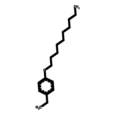 [CH2]Cc1ccc(OCCCCCCCCCC)cc1